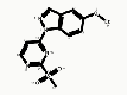 CCOc1ccc2c(cnn2-c2ccnc(S(C)(=O)=O)n2)c1